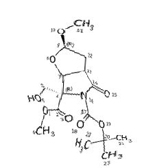 COC(=O)[C@@]1(CO)C2O[C@@H](OC)CC2C(=O)N1C(=O)OC(C)(C)C